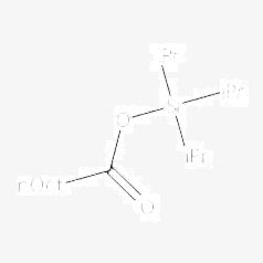 CCCCCCCCC(=O)O[Si](C(C)C)(C(C)C)C(C)C